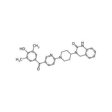 Cc1cc(C(=O)c2ccc(N3CCC(N4Cc5ccccc5NC4=O)CC3)nc2)cc(C)c1O